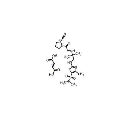 Cc1nc(NCC(C)(C)NCC(=O)N2CCC[C@H]2C#N)sc1S(=O)(=O)N(C)C.O=C(O)/C=C/C(=O)O